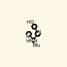 CC(C)(C)c1nc(-c2ccnc(-c3ccc(O)cc3)c2)c(-c2ccccn2)[nH]1